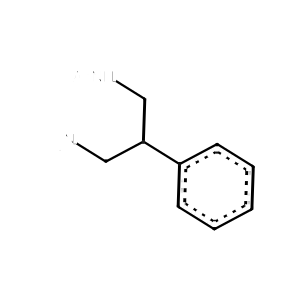 CC(=O)NCC(CN)c1ccccc1